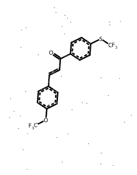 O=C(C=Cc1ccc(OC(F)(F)F)cc1)c1ccc(SC(F)(F)F)cc1